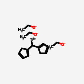 CC[O-].CC[O-].CC[O-].[Ti+3][CH](C1=CC=CC1)C1=CC=CC1